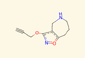 C#CCOc1noc2c1CNCCC2